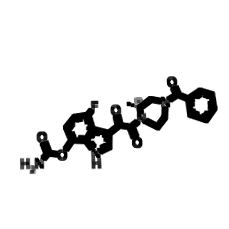 C[C@@H]1CN(C(=O)c2ccccc2)CCN1C(=O)C(=O)c1c[nH]c2c(OC(N)=O)ccc(F)c12